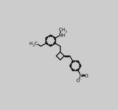 CCc1ccc(NC)c(CC2CC/C2=C\c2ccc([N+](=O)[O-])cc2)c1